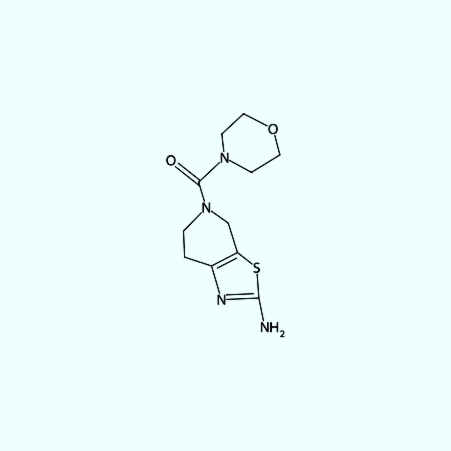 Nc1nc2c(s1)CN(C(=O)N1CCOCC1)CC2